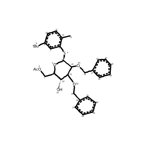 CC(=O)OCC1O[C@@H](Sc2cc(C(C)(C)C)ccc2C)C(OCc2ccccc2)C(OCc2ccccc2)[C@@H]1O